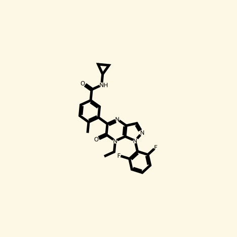 CCn1c(=O)c(-c2cc(C(=O)NC3CC3)ccc2C)nc2cnn(-c3c(F)cccc3F)c21